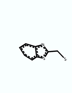 [S]Cc1nc2ccccc2s1